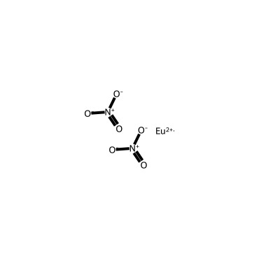 O=[N+]([O-])[O-].O=[N+]([O-])[O-].[Eu+2]